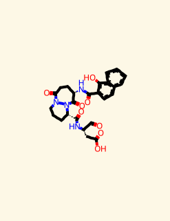 O=C[C@H](CC(=O)O)NC(=O)[C@@H]1CCCN2C(=O)CC[C@H](NC(=O)c3ccc4ccccc4c3O)C(=O)N12